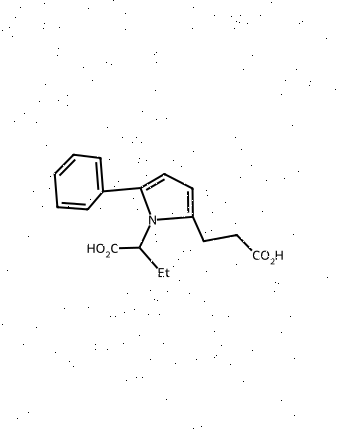 CCC(C(=O)O)n1c(CCC(=O)O)ccc1-c1ccccc1